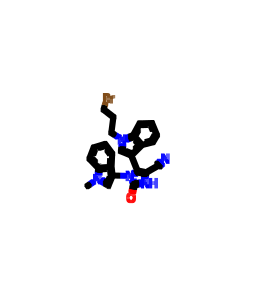 Cn1cc(-n2c(-c3cn(CCCBr)c4ccccc34)c(C#N)[nH]c2=O)c2ccccc21